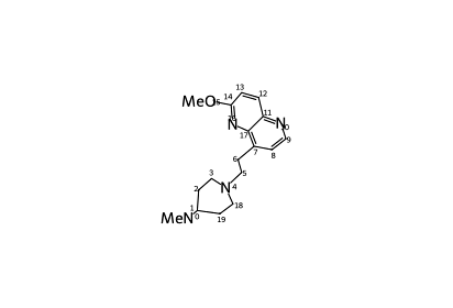 CNC1CCN(CCc2ccnc3ccc(OC)nc23)CC1